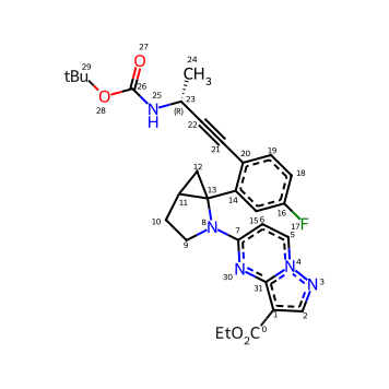 CCOC(=O)c1cnn2ccc(N3CCC4CC43c3cc(F)ccc3C#C[C@@H](C)NC(=O)OC(C)(C)C)nc12